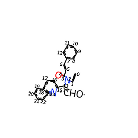 C=CN(C(=O)C=Cc1ccccc1)C([C]=O)c1ccc2ccccc2n1